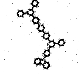 c1ccc(-c2cc(-c3ccc(-c4ccc(-c5ccc(-c6cc(-c7ccccc7)nc(-c7ccccc7)n6)cc5)cc4)cn3)nc(-c3ccc(-n4c5ccccc5c5ccccc54)cn3)c2)cc1